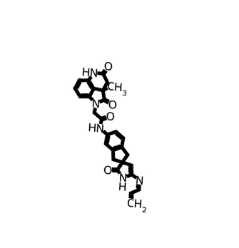 C=C/C=N\C1=CC2(Cc3ccc(NC(=O)CN4C(=O)C5(C)CC(=O)Nc6cccc4c65)cc3C2)C(=O)N1